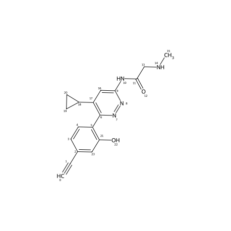 C#Cc1ccc(-c2nnc(NC(=O)CNC)cc2C2CC2)c(O)c1